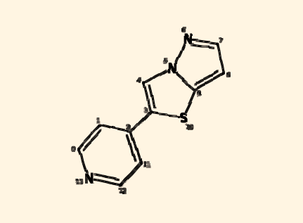 c1cc(-c2cn3nccc3s2)ccn1